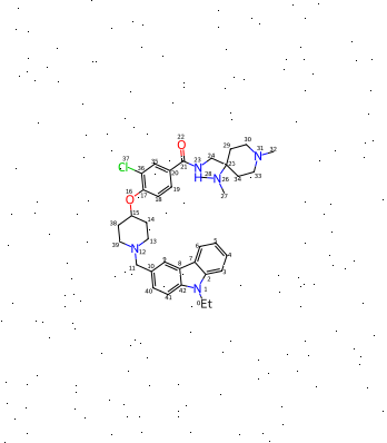 CCn1c2ccccc2c2cc(CN3CCC(Oc4ccc(C(=O)NCC5(N(C)C)CCN(C)CC5)cc4Cl)CC3)ccc21